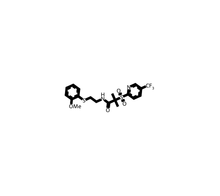 COc1ccccc1SCCNC(=O)C(C)(C)S(=O)(=O)c1ccc(C(F)(F)F)cn1